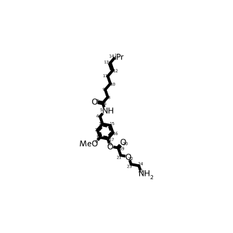 COc1cc(CNC(=O)CCCC/C=C/C(C)C)ccc1OC(=O)COCCN